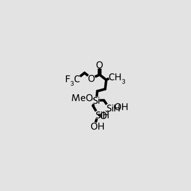 CO[Si]1(CCC(C)C(=O)OCC(F)(F)F)C[SiH](O)O[SiH](O)C1